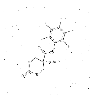 CCCCC1(C(=O)Oc2c(F)c(C)c(F)c(F)c2F)COC(=O)OC1